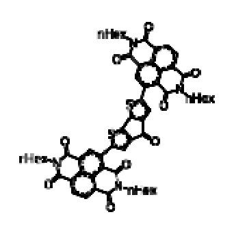 CCCCCCN1C(=O)c2ccc3c4c(c(-c5cc6c(s5)-c5sc(-c7cc8c9c(ccc%10c9c7C(=O)N(CCCCCC)C%10=O)C(=O)N(CCCCCC)C8=O)cc5C6=O)cc(c24)C1=O)C(=O)N(CCCCCC)C3=O